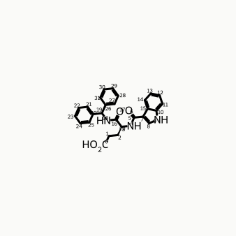 O=C(O)CC[C@H](NC(=O)c1c[nH]c2ccccc12)C(=O)NC(c1ccccc1)c1ccccc1